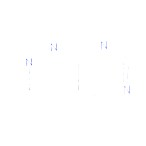 [c]1cnnc2ncncc12